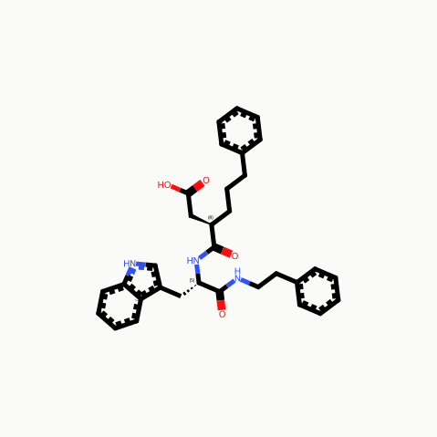 O=C(O)C[C@@H](CCCc1ccccc1)C(=O)N[C@@H](Cc1c[nH]c2ccccc12)C(=O)NCCc1ccccc1